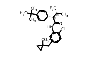 C[C@H]([C@H](C(=O)Nc1cc(CC2(C(=O)O)CC2)ccc1Cl)C1C=CC(C(C)(C)C(F)(F)F)=CC1)C(F)(F)F